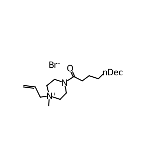 C=CC[N+]1(C)CCN(C(=O)CCCCCCCCCCCCC)CC1.[Br-]